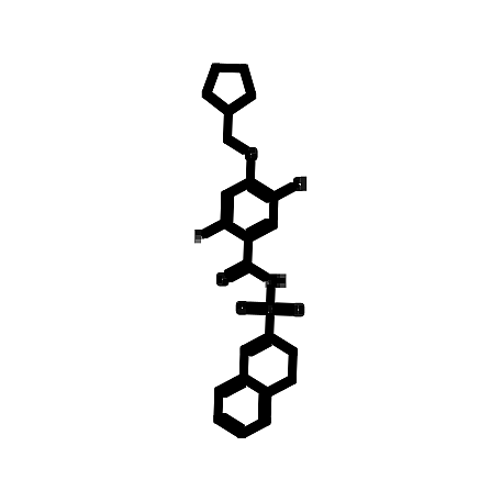 O=C(NS(=O)(=O)C1=Cc2ccccc2CC1)c1cc(Cl)c(OCC2CCCC2)cc1F